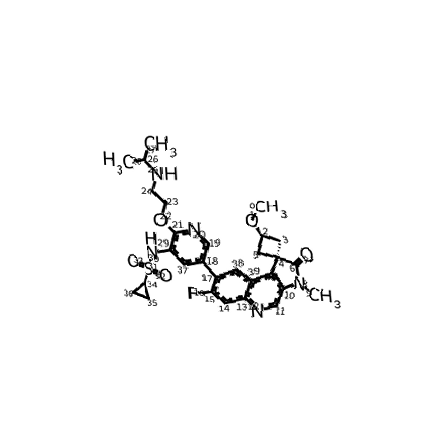 CO[C@H]1C[C@]2(C1)C(=O)N(C)c1cnc3cc(F)c(-c4cnc(OCCNC(C)C)c(NS(=O)(=O)C5CC5)c4)cc3c12